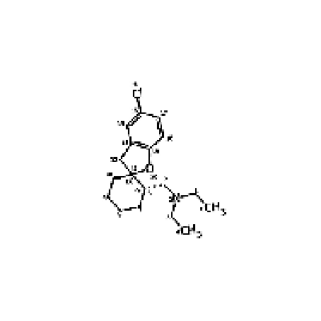 CCN(CC)C[C@@H]1CCCC[C@]12Cc1cc(Cl)ccc1O2